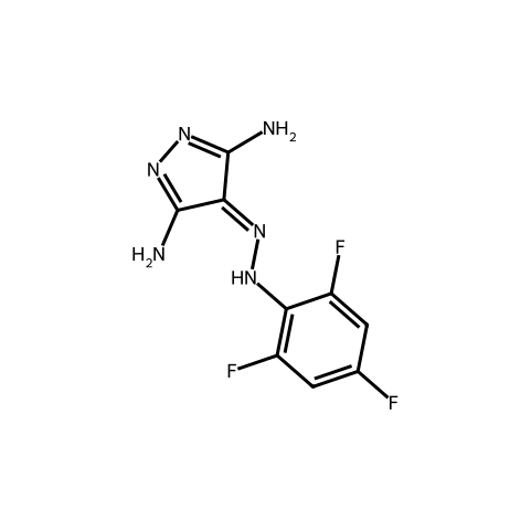 NC1=NN=C(N)C1=NNc1c(F)cc(F)cc1F